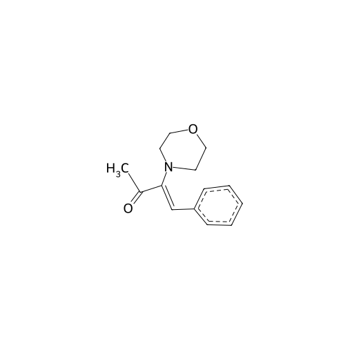 CC(=O)C(=Cc1ccccc1)N1CCOCC1